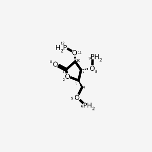 O=C1O[C@H](COP)[C@@H](OP)[C@H]1OP